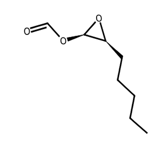 CCCCC[C@@H]1O[C@@H]1OC=O